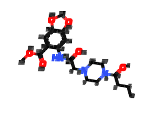 CCCC(=O)N1CCN(CC(=O)Nc2cc3c(cc2C(=O)OC)OCO3)CC1